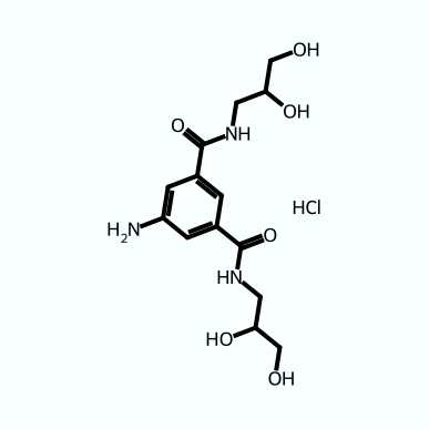 Cl.Nc1cc(C(=O)NCC(O)CO)cc(C(=O)NCC(O)CO)c1